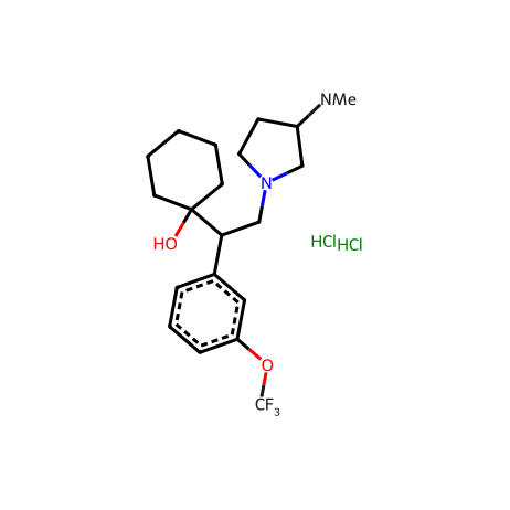 CNC1CCN(CC(c2cccc(OC(F)(F)F)c2)C2(O)CCCCC2)C1.Cl.Cl